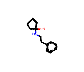 OC1(NCCc2ccccc2)CCCC1